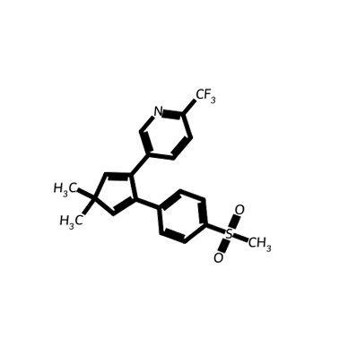 CC1(C)C=C(c2ccc(S(C)(=O)=O)cc2)C(c2ccc(C(F)(F)F)nc2)=C1